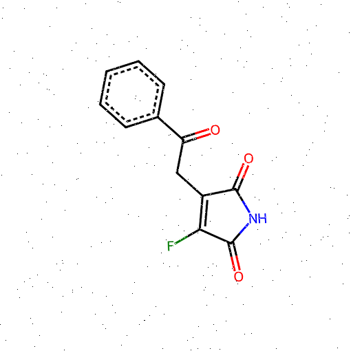 O=C1NC(=O)C(CC(=O)c2ccccc2)=C1F